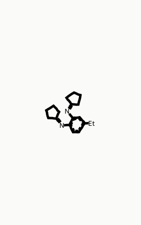 CCc1ccc(N=C2CCCC2)c(N=C2CCCC2)c1